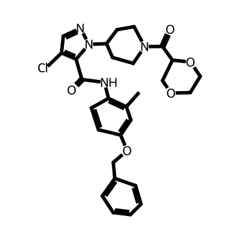 Cc1cc(OCc2ccccc2)ccc1NC(=O)c1c(Cl)cnn1C1CCN(C(=O)C2COCCO2)CC1